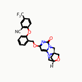 N#Cc1cc(C(F)(F)F)ccc1Oc1ccccc1COc1cc2n(c(=O)n1)C[C@]13CO[C@H](CN21)C3